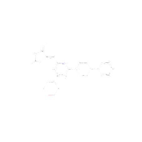 O=C1NC(=O)/C(=C/c2cc(N3CCOCC3)nc(N3CCN(c4ccccc4)CC3)n2)S1